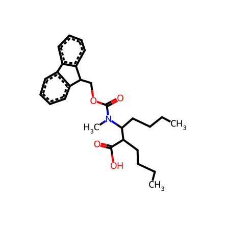 CCCCC(C(=O)O)C(CCCC)N(C)C(=O)OCC1c2ccccc2-c2ccccc21